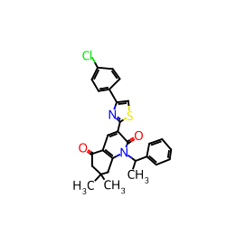 CC(c1ccccc1)n1c2c(cc(-c3nc(-c4ccc(Cl)cc4)cs3)c1=O)C(=O)CC(C)(C)C2